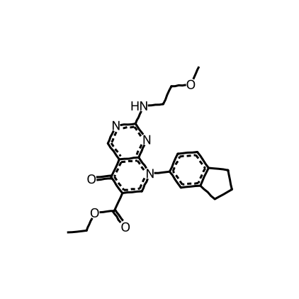 CCOC(=O)c1cn(-c2ccc3c(c2)CCC3)c2nc(NCCOC)ncc2c1=O